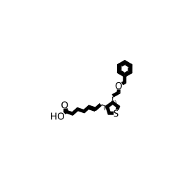 O=C(O)CCCC=CC[C@H]1CSC[C@H]1CCOCc1ccccc1